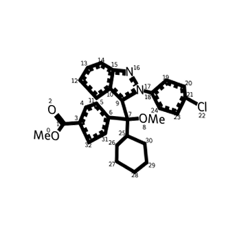 COC(=O)c1ccc(C(OC)(c2c3ccccc3nn2-c2ccc(Cl)cc2)C2CCCCC2)cc1